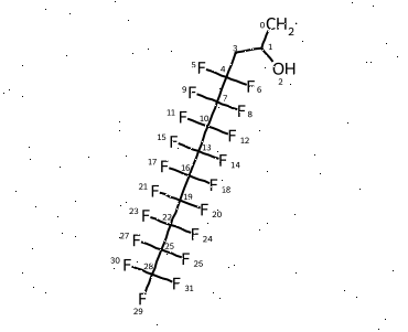 [CH2]C(O)CC(F)(F)C(F)(F)C(F)(F)C(F)(F)C(F)(F)C(F)(F)C(F)(F)C(F)(F)C(F)(F)F